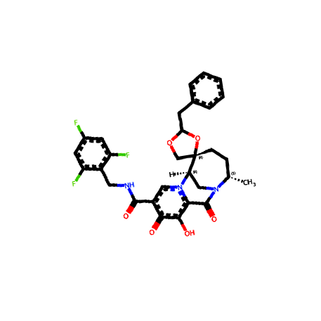 C[C@H]1CC[C@]2(COC(Cc3ccccc3)O2)[C@H]2CN1C(=O)c1c(O)c(=O)c(C(=O)NCc3c(F)cc(F)cc3F)cn12